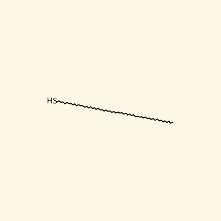 CCCCCCCCCCCCCCCCCCCCCCCCCCCCCCCCCCCCCCCCCCCCCCCCCCCCCCCCCCCCS